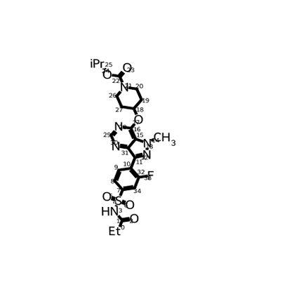 CCC(=O)NS(=O)(=O)c1ccc(-c2nn(C)c3c(OC4CCN(C(=O)OC(C)C)CC4)ncnc23)c(F)c1